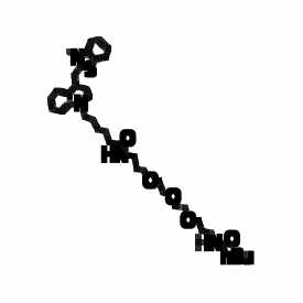 CCCCC(=O)NCCCOCCOCCOCCCNC(=O)CCCCCN1C=CC(=Cc2sc3ccccc3[n+]2C)c2ccccc21